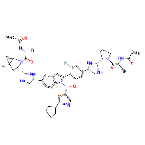 COC(=O)N[C@H](C(=O)N1CCC[C@H]1C1NCC(c2cc(F)c3c(c2)OC(c2cnc(C4CCCC4)s2)n2c-3cc3cc(C4CNC([C@@H]5C[C@H]6C=C6N5C(=O)[C@H](NC(=O)OC)C(C)C)N4)ccc32)N1)C(C)C